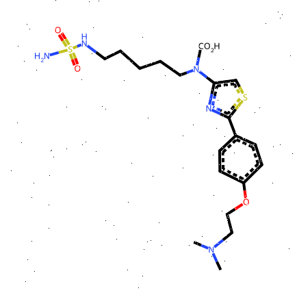 CN(C)CCOc1ccc(-c2nc(N(CCCCCNS(N)(=O)=O)C(=O)O)cs2)cc1